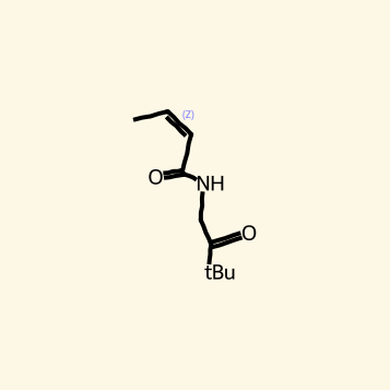 C/C=C\C(=O)NCC(=O)C(C)(C)C